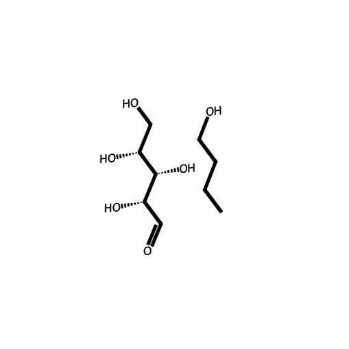 CCCCO.O=C[C@H](O)[C@@H](O)[C@H](O)CO